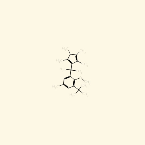 COc1c(C(C)(C)C)cc(C)cc1C(C)(C)C1=C(C)C(C)C(C)=C1C